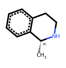 C[C@H]1NCCc2ccccc21